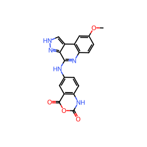 COc1ccc2nc(Nc3ccc4[nH]c(=O)oc(=O)c4c3)c3n[nH]cc3c2c1